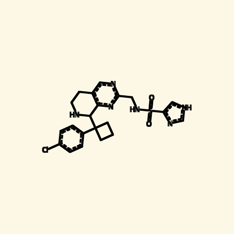 O=S(=O)(NCc1ncc2c(n1)C(C1(c3ccc(Cl)cc3)CCC1)NCC2)c1c[nH]cn1